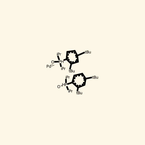 CC(C)[PH]([O-])(c1ccc(C(C)(C)C)cc1C(C)(C)C)C(C)C.CC(C)[PH]([O-])(c1ccc(C(C)(C)C)cc1C(C)(C)C)C(C)C.[Pd+2]